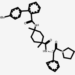 CC1(NC(=O)c2ccccc2-c2ccc(C(C)(C)C)cc2)CCC(C)(C(=O)N[C@H](C(=O)N2CCCC2)c2ccccc2)CC1